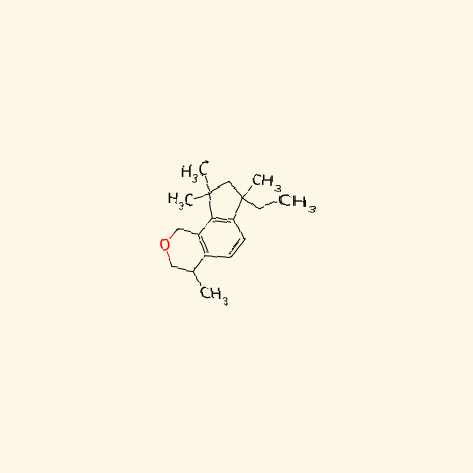 CCC1(C)CC(C)(C)c2c1ccc1c2COCC1C